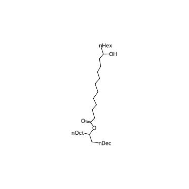 CCCCCCCCCCCC(CCCCCCCC)OC(=O)CCCCCCCCCCC(O)CCCCCC